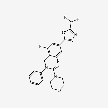 O=C(N1CCOCC1)N(Cc1c(F)cc(-c2nnc(C(F)F)o2)cc1F)c1ccccc1